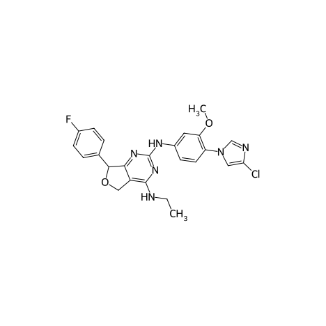 CCNc1nc(Nc2ccc(-n3cnc(Cl)c3)c(OC)c2)nc2c1COC2c1ccc(F)cc1